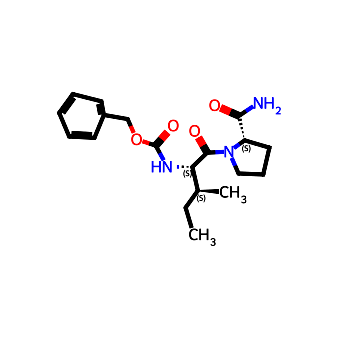 CC[C@H](C)[C@H](NC(=O)OCc1ccccc1)C(=O)N1CCC[C@H]1C(N)=O